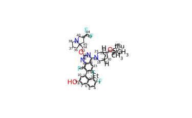 CCc1c(F)ccc2cc(O)cc(-c3c(F)cc4c(N5C[C@@H]6C[C@H](C5)[C@H](O[Si](C)(C)C(C)(C)C)C6)nc(OCC56CCCN5CC(=C(F)F)C6)nc4c3F)c12